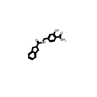 NC(=O)c1ccc(CNC(=O)C2Cc3ccccc3C2)cc1O